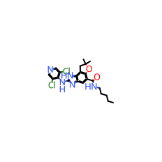 CCCCCNC(=O)c1cc2nc(Nc3c(Cl)cncc3Cl)[nH]c2c2c1OC(C)(C)C2